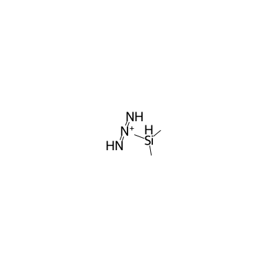 C[SiH](C)C.N=[N+]=N